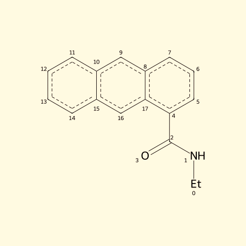 CCNC(=O)c1cccc2cc3ccccc3cc12